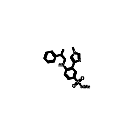 CNS(=O)(=O)c1ccc(NCC(C)c2ccccc2)c(-c2cn(C)cn2)c1